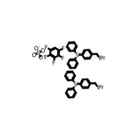 CC(C)Cc1ccc([S+](c2ccccc2)c2ccccc2)cc1.CC(C)Cc1ccc([S+](c2ccccc2)c2ccccc2)cc1.Fc1cc(F)c(F)c(F)c1F.O=S(=O)([O-])[O-]